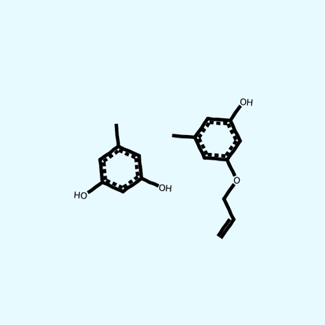 C=CCOc1cc(C)cc(O)c1.Cc1cc(O)cc(O)c1